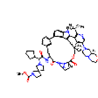 CCn1c(-c2cc(N3CCN4CCOC[C@@H]4C3)cnc2[C@H](C)OC)c2c3cc(ccc31)-c1cccc(c1)C[C@H](NC(=O)[C@H](C1CCCC1)N1CC[C@]3(CCN(C(=O)OC(C)(C)C)C3)C1)C(=O)N1CCC[C@H](N1)C(=O)OCC(C)(C)C2